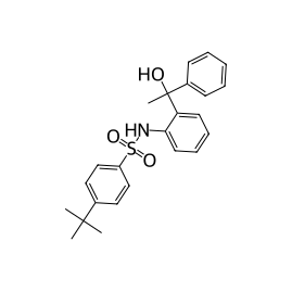 CC(C)(C)c1ccc(S(=O)(=O)Nc2ccccc2C(C)(O)c2ccccc2)cc1